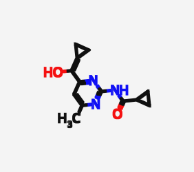 Cc1cc(C(O)=C2CC2)nc(NC(=O)C2CC2)n1